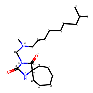 CC(C)CCCCCCCN(C)CN1C(=O)NC2(CCCCCC2)C1=O